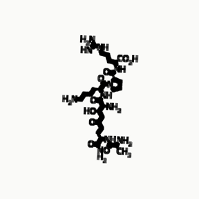 C[C@H](N)C(=O)N[C@H](CCC(=O)C[C@@H](O)[C@H](N)C(=O)N[C@@H](CCCCN)C(=O)N1CCC[C@H]1C(=O)N[C@@H](CCCNC(=N)N)C(=O)O)C(N)=O